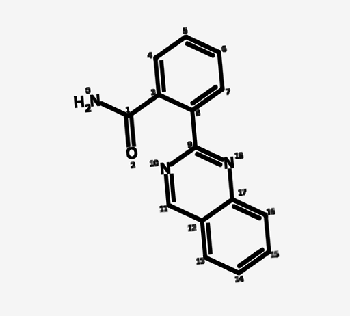 NC(=O)c1ccccc1-c1ncc2ccccc2n1